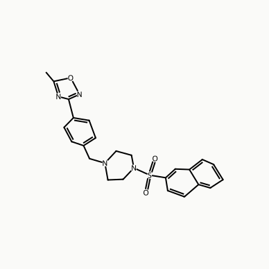 Cc1nc(-c2ccc(CN3CCN(S(=O)(=O)c4ccc5ccccc5c4)CC3)cc2)no1